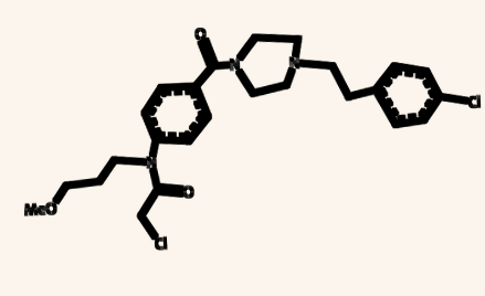 COCCCN(C(=O)CCl)c1ccc(C(=O)N2CCN(CCc3ccc(Cl)cc3)CC2)cc1